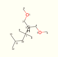 COC[SiH](COC)C(C)(C)CC(C)C